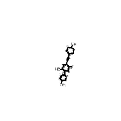 Oc1ccc(C#Cc2cc(O)c(-c3ccc(O)cc3)cc2F)cc1